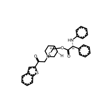 O=C(C[N+]12CCC(CC1)[C@@H](OC(=O)[C@H](Nc1ccccc1)c1ccccc1)C2)c1cc2ccccc2s1